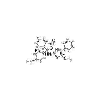 Cc1ccc(C2(Nc3nc(-c4ccccc4)c(C)s3)OC(=O)c3cccc(F)c32)cc1